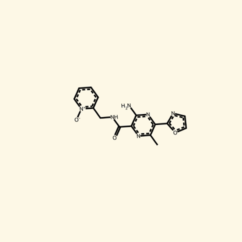 Cc1nc(C(=O)NCc2cccc[n+]2[O-])c(N)nc1-c1ncco1